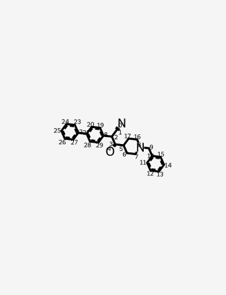 N#CC(C(=O)C1CCN(Cc2ccccc2)CC1)c1ccc(-c2ccccc2)cc1